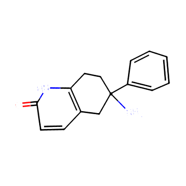 NC1(c2ccccc2)CCc2[nH]c(=O)ccc2C1